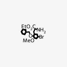 CCOC(=O)C(N)Cc1cc(Br)cc(OC)c1OCc1ccccc1